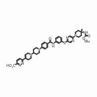 CC1(NC(=O)OC(C)(C)C)CCN(c2cnc(Sc3cccc(NC(=O)c4ccc(N5CCC(N6CC=C(c7ccc(C(=O)O)nn7)CC6)CC5)cc4)c3)cn2)CC1